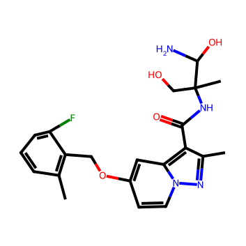 Cc1cccc(F)c1COc1ccn2nc(C)c(C(=O)NC(C)(CO)C(N)O)c2c1